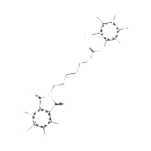 O=C(OCCCCCN1C(=O)c2c(Cl)c(Cl)c(Cl)c(Cl)c2C1=O)Oc1c(Cl)c(Cl)c(Br)c(Cl)c1Br